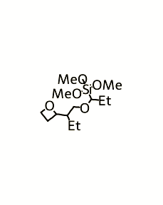 CCC(COC(CC)[Si](OC)(OC)OC)C1CCO1